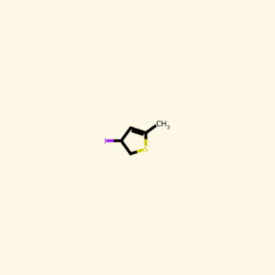 CC1=CC(I)CS1